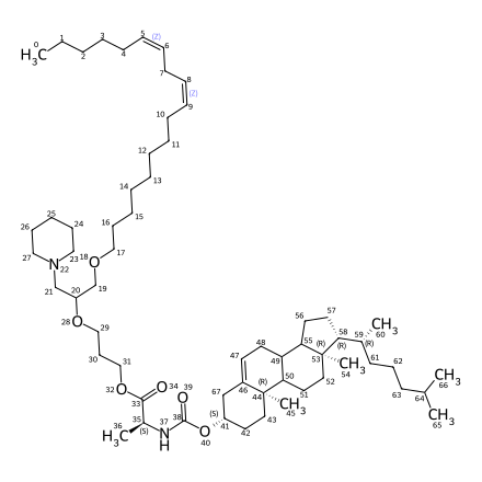 CCCCC/C=C\C/C=C\CCCCCCCCOCC(CN1CCCCC1)OCCCOC(=O)[C@H](C)NC(=O)O[C@H]1CC[C@@]2(C)C(=CCC3C2CC[C@@]2(C)C3CC[C@@H]2[C@H](C)CCCC(C)C)C1